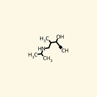 C#CC(O)C(C)CNC(C)C